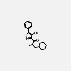 CC(CN1CCCCC1)C(=O)c1noc(-c2ccccc2)c1O